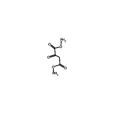 O=C(CC(=O)C(=O)OP)OP